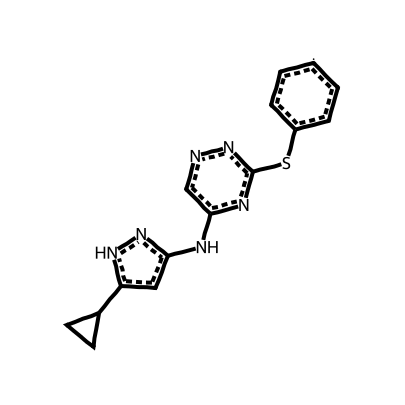 [c]1ccc(Sc2nncc(Nc3cc(C4CC4)[nH]n3)n2)cc1